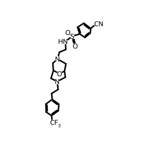 N#Cc1ccc(S(=O)(=O)NCCN2CC3CN(CCc4ccc(C(F)(F)F)cc4)CC(C2)O3)cc1